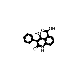 O=C(O)c1cccc2[nH]c(=O)c(-c3ccccc3)c(O)c12